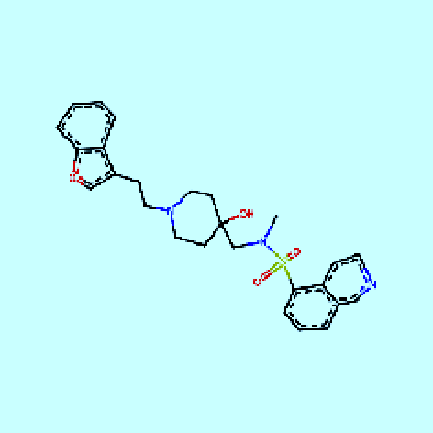 CN(CC1(O)CCN(CCc2coc3ccccc23)CC1)S(=O)(=O)c1cccc2cnccc12